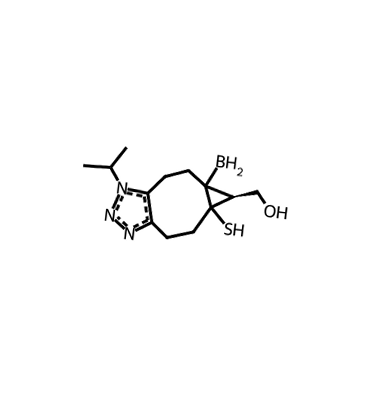 BC12CCc3c(nnn3C(C)C)CCC1(S)[C@@H]2CO